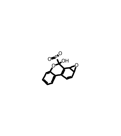 O=P(=O)C1(O)Oc2ccccc2C2=C1C1OC1C=C2